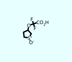 O=C(O)C(F)(F)OC1CC[S+]([O-])C1